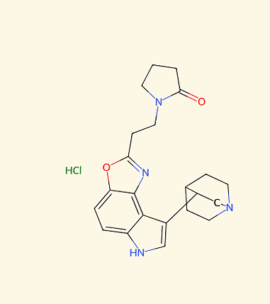 Cl.O=C1CCCN1CCc1nc2c(ccc3[nH]cc(C4CN5CCC4CC5)c32)o1